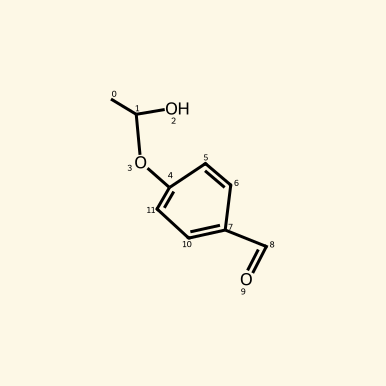 CC(O)Oc1ccc(C=O)cc1